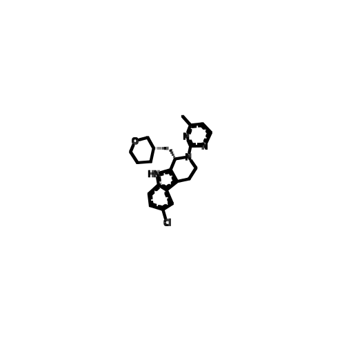 Cc1ccnc(N2CCc3c([nH]c4ccc(Cl)cc34)[C@@H]2C[C@@H]2CCCOC2)n1